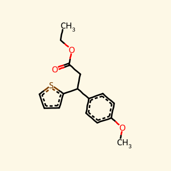 CCOC(=O)CC(c1ccc(OC)cc1)c1cccs1